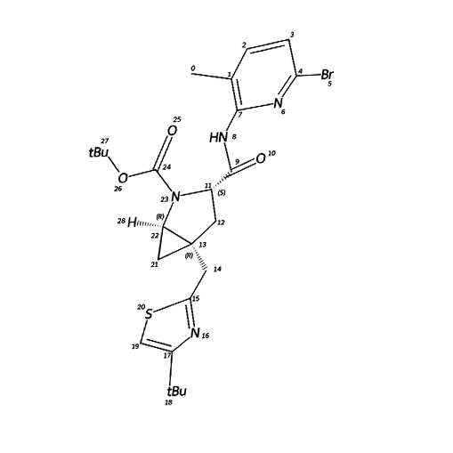 Cc1ccc(Br)nc1NC(=O)[C@@H]1C[C@@]2(Cc3nc(C(C)(C)C)cs3)C[C@H]2N1C(=O)OC(C)(C)C